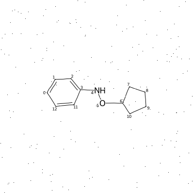 c1ccc(NOC2CCCC2)cc1